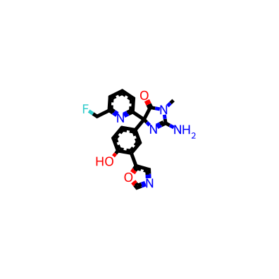 CN1C(=O)C(c2ccc(O)c(-c3cnco3)c2)(c2cccc(CF)n2)N=C1N